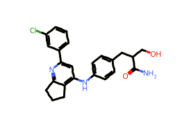 NC(=O)C(CO)Cc1ccc(Nc2cc(-c3cccc(Cl)c3)nc3c2CCC3)cc1